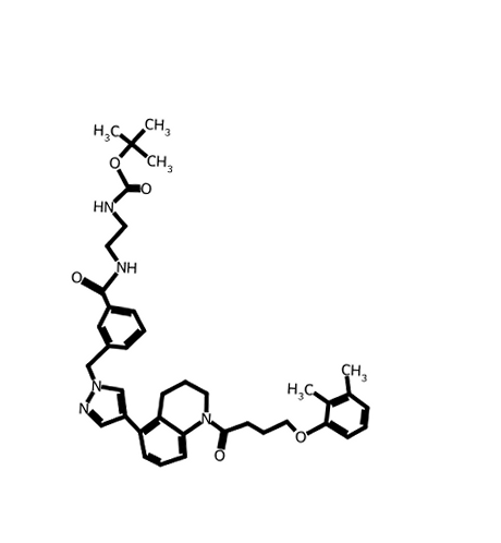 Cc1cccc(OCCCC(=O)N2CCCc3c(-c4cnn(Cc5cccc(C(=O)NCCNC(=O)OC(C)(C)C)c5)c4)cccc32)c1C